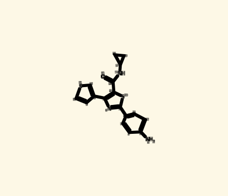 Nc1ccc(-c2nc(-c3ccsc3)c(C(=O)NC3CC3)s2)cc1